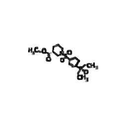 CCOC(=O)[C@@H]1CCCN(S(=O)(=O)c2ccc(P(=O)(CC)CC)cc2)C1